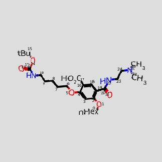 CCCCCCOc1cc(OCCCCCNC(=O)OC(C)(C)C)c(C(=O)O)cc1C(=O)NCCN(C)C